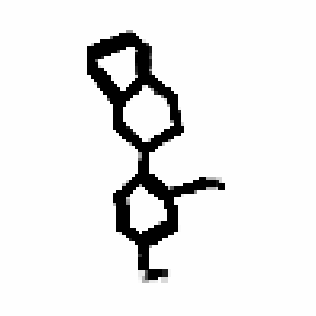 COc1ccc(C2CCc3ccccc3C2)c(N)c1